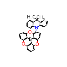 CC1(C)c2ccccc2N(c2ccc3c4c2Oc2cccc5c2B4c2c(cccc2O3)O5)c2ccccc21